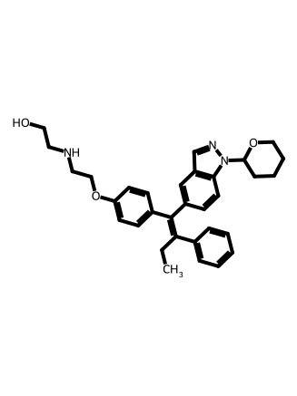 CCC(=C(c1ccc(OCCNCCO)cc1)c1ccc2c(cnn2C2CCCCO2)c1)c1ccccc1